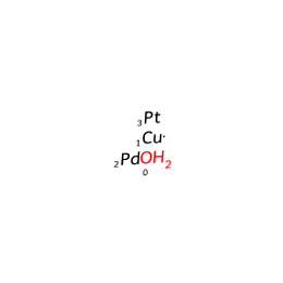 O.[Cu].[Pd].[Pt]